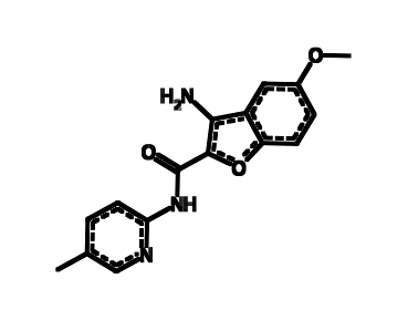 COc1ccc2oc(C(=O)Nc3ccc(C)cn3)c(N)c2c1